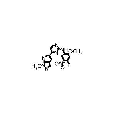 COc1cc(F)c([N+](=O)[O-])cc1Nc1nccc(-c2cnc3c(cnn3C)c2)n1